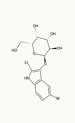 OC[C@H]1O[C@H](Oc2c(Cl)[nH]c3ccc(Br)cc23)[C@H](O)[C@@H](O)[C@H]1O